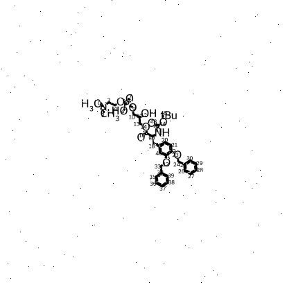 CN(C)CCOP(=O)(O)OCC(O)COC(=O)[C@H](Cc1ccc(OCc2ccccc2)c(OCc2ccccc2)c1)NC(=O)OC(C)(C)C